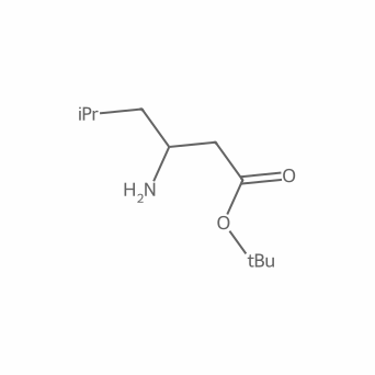 CC(C)CC(N)CC(=O)OC(C)(C)C